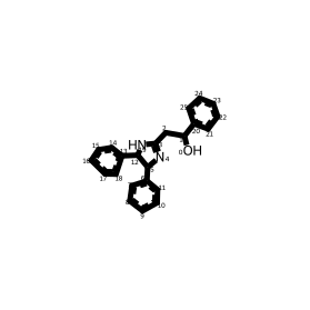 OC(CC1=NC(c2ccccc2)C(c2ccccc2)N1)c1ccccc1